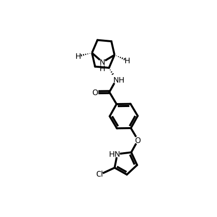 O=C(N[C@@H]1C[C@H]2CC[C@@H]1N2)c1ccc(Oc2ccc(Cl)[nH]2)cc1